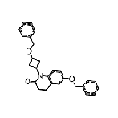 O=C1CCc2cc(OCc3ccccc3)ccc2N1C1CC(OCc2ccccc2)C1